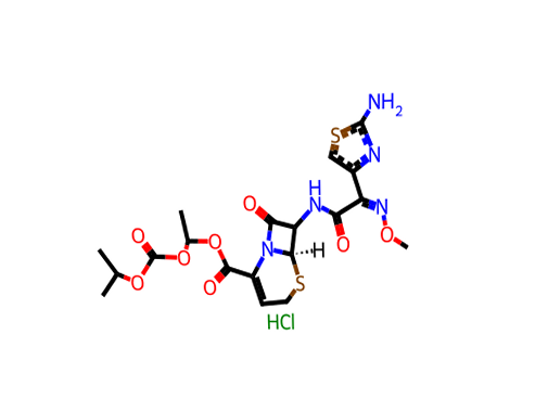 CO/N=C(\C(=O)NC1C(=O)N2C(C(=O)OC(C)OC(=O)OC(C)C)=CCS[C@H]12)c1csc(N)n1.Cl